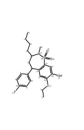 CCCCC1CC(c2ccc(F)cc2)c2cc(SCC)c(O)cc2S(=O)(=O)N1C